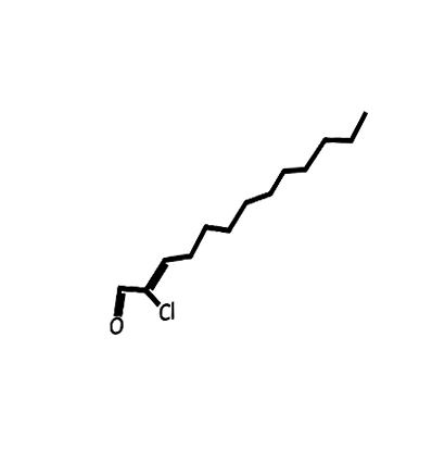 CCCCCCCCCCC=C(Cl)C=O